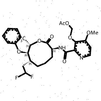 COc1ccnc(C(=O)N[C@H]2CCC[C@H](CC(F)F)[C@@H](Oc3ccccc3)[C@H](C)OC2=O)c1OCOC(C)=O